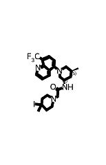 C[C@H]1C[C@@H](NC(=O)CN2CCC(C)(I)CC2)CN(c2ccc(C(F)(F)F)c3ncccc23)C1